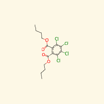 CCCCOC(=O)c1c(Cl)c(Cl)c(Cl)c(Cl)c1C(=O)OCCCC